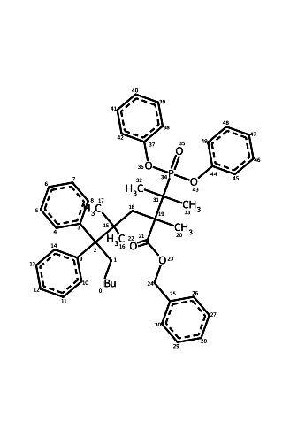 CCC(C)CC(c1ccccc1)(c1ccccc1)C(C)(C)CC(C)(C(=O)OCc1ccccc1)C(C)(C)P(=O)(Oc1ccccc1)Oc1ccccc1